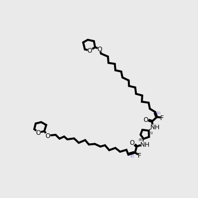 O=C(N[C@@H]1CC[C@H](NC(=O)/C(F)=C\CCCCCCCCCCCCCCCOC2CCCCO2)C1)/C(F)=C\CCCCCCCCCCCCCCCOC1CCCCO1